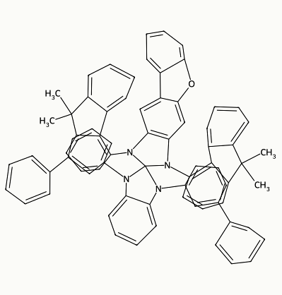 CC1(C)c2ccccc2-c2c(N3c4cc5oc6ccccc6c5cc4N(c4cccc5c4-c4ccccc4C5(C)C)C34N(c3cccc(-c5ccccc5)c3)c3ccccc3N4c3cccc(-c4ccccc4)c3)cccc21